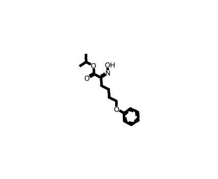 CC(C)OC(=O)C(CCCCOc1ccccc1)=NO